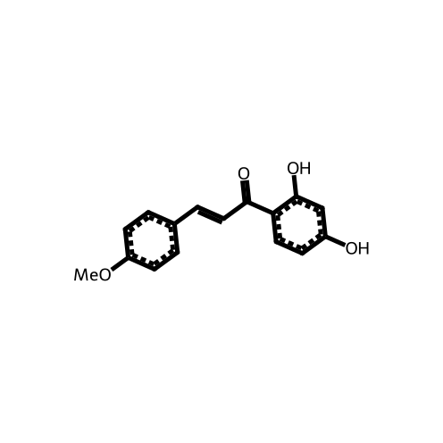 COc1ccc(C=CC(=O)c2ccc(O)cc2O)cc1